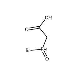 O=C(O)C[PH](=O)Br